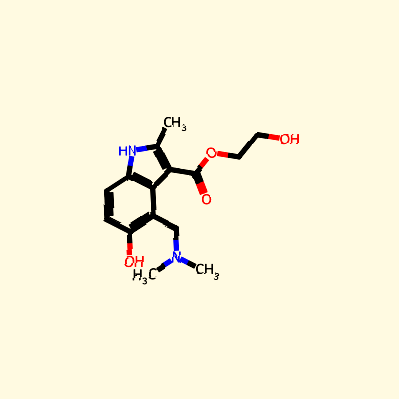 Cc1[nH]c2ccc(O)c(CN(C)C)c2c1C(=O)OCCO